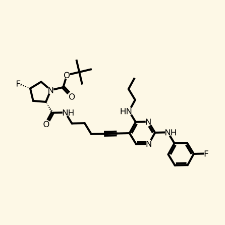 CCCNc1nc(Nc2cccc(F)c2)ncc1C#CCCCNC(=O)[C@@H]1C[C@H](F)CN1C(=O)OC(C)(C)C